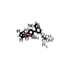 CC(C)(O)COc1cc(-c2ccc(N3C[C@H]4C[C@@H](C3)C4NC(=O)OC(C)(C)C)nc2)c2c(C#N)cnn2c1